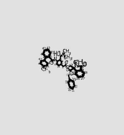 CN(C)C(=O)c1cc(CC(=O)OCC2(C(=O)OCc3ccccc3)c3ccccc3C(=O)N2C)ccc1NC(=O)c1ccccc1-c1ccc(C(F)(F)F)cc1